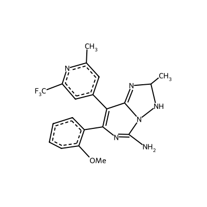 COc1ccccc1C1=C(c2cc(C)nc(C(F)(F)F)c2)C2=NC(C)NN2C(N)=N1